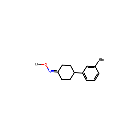 CCON=C1CCC(c2cccc(C(C)(C)C)c2)CC1